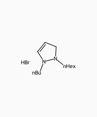 Br.CCCCCCN1CC=CN1CCCC